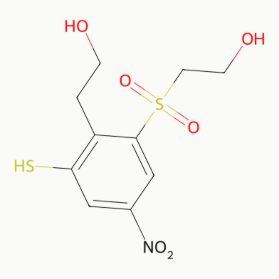 O=[N+]([O-])c1cc(S)c(CCO)c(S(=O)(=O)CCO)c1